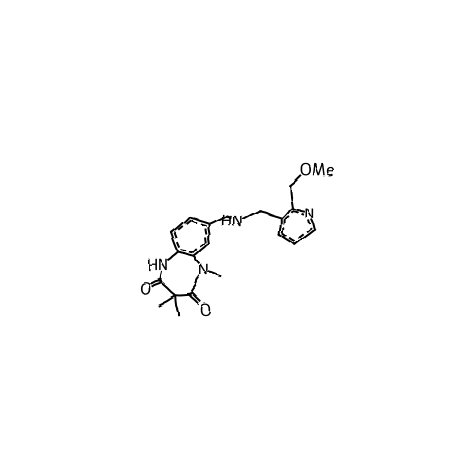 COCc1ncccc1CNCc1ccc2c(c1)N(C)C(=O)C(C)(C)C(=O)N2